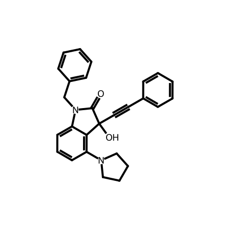 O=C1N(Cc2ccccc2)c2cccc(N3CCCC3)c2C1(O)C#Cc1ccccc1